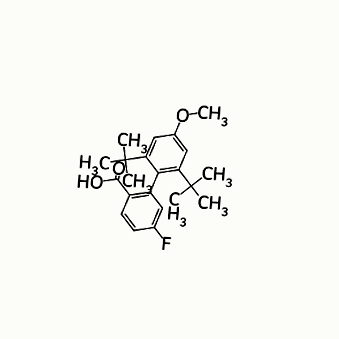 COc1cc(C(C)(C)C)c(-c2cc(F)ccc2C(=O)O)c(C(C)(C)C)c1